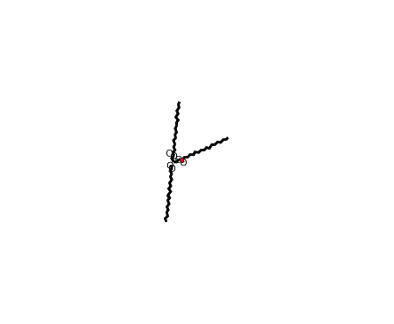 CCCCCCCCC=CCCCCCCCCOOC(COC(=O)CCCCCCCCCCCCCCCCC)COC(=O)CCCCCCCCCCCCCCCCC